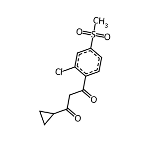 CS(=O)(=O)c1ccc(C(=O)CC(=O)C2CC2)c(Cl)c1